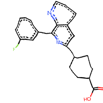 O=C(O)C1CCC(c2cc3cccnc3c(-c3cccc(F)c3)n2)CC1